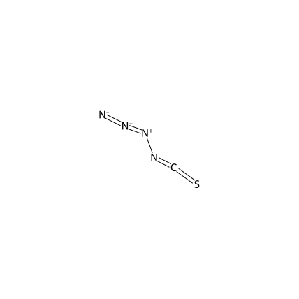 [N-]=[N+]=[N+]N=C=S